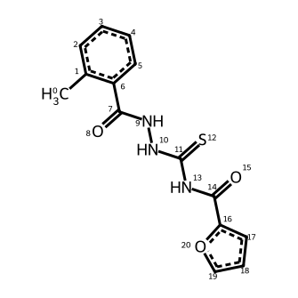 Cc1ccccc1C(=O)NNC(=S)NC(=O)c1ccco1